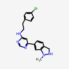 CN1NCc2ccc(-c3cc(NCCc4ccc(Br)cc4)ncn3)cc21